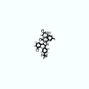 Cc1cccc(C2=NC(c3ccc(C(F)(F)F)cc3)C(c3cccc(Cl)c3)N2C(=O)N2CCNC(=O)C2)c1